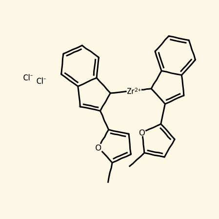 Cc1ccc(C2=Cc3ccccc3[CH]2[Zr+2][CH]2C(c3ccc(C)o3)=Cc3ccccc32)o1.[Cl-].[Cl-]